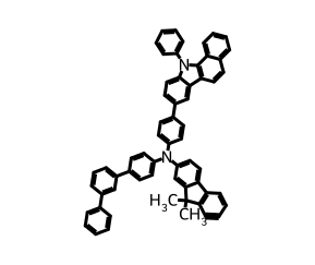 CC1(C)c2c#cccc2-c2ccc(N(c3ccc(-c4cccc(-c5ccccc5)c4)cc3)c3ccc(-c4ccc5c(c4)c4ccc6ccccc6c4n5-c4ccccc4)cc3)cc21